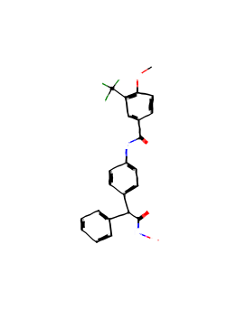 COc1ccc(C(=O)Nc2ccc(C(C(=O)NO)c3ccccc3)cc2)cc1C(F)(F)F